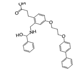 O=C(O)CCc1ccc(OCCCOc2ccc(-c3ccccc3)cc2)cc1CNC(O)c1ccccc1